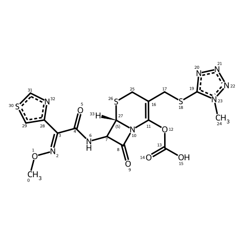 CON=C(C(=O)NC1C(=O)N2C(OC(=O)O)=C(CSc3nnnn3C)CS[C@@H]12)c1cscn1